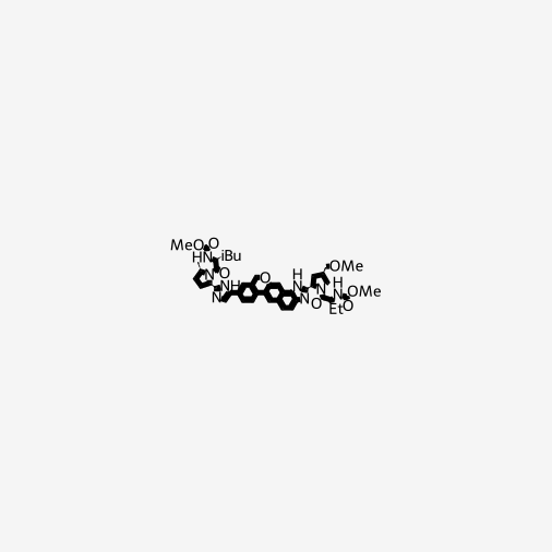 CCC(NC(=O)OC)C(=O)N1C[C@@H](COC)C[C@H]1c1nc2ccc3cc4c(cc3c2[nH]1)OCc1cc(-c2cnc([C@@H]3CC[C@H](C)N3C(=O)C(NC(=O)OC)[C@@H](C)CC)[nH]2)ccc1-4